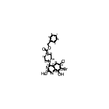 O=C(OCc1ccccc1)N1CCN(c2nc(O)nc3c(O)c(Br)c(Cl)cc23)CC1